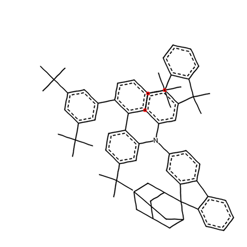 CC(C)(C)c1cc(-c2ccc(C(C)(C)C)cc2-c2ccc(C(C)(C)C)cc2N(c2ccc3c(c2)C(C)(C)c2ccccc2-3)c2ccc3c(c2)C2(c4ccccc4-3)C3CC4CC(C3)CC2C4)cc(C(C)(C)C)c1